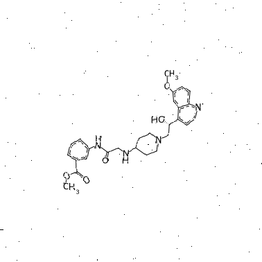 COC(=O)c1cccc(NC(=O)CNC2CCN(C[C@H](O)c3ccnc4ccc(OC)cc34)CC2)c1